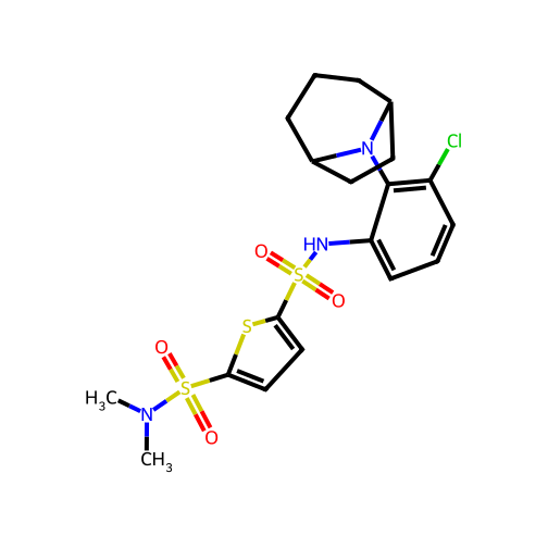 CN(C)S(=O)(=O)c1ccc(S(=O)(=O)Nc2cccc(Cl)c2N2C3CCCC2CC3)s1